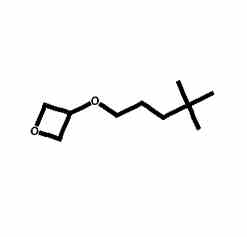 CC(C)(C)CCCOC1COC1